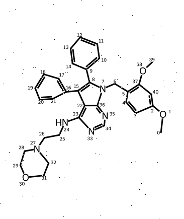 COc1ccc(Cn2c(-c3ccccc3)c(-c3ccccc3)c3c(NCCN4CCOCC4)ncnc32)c(OC)c1